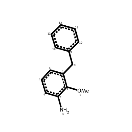 COc1c(N)cccc1Cc1ccccc1